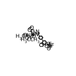 COC(=O)N[C@H](C(=O)N1CC2(C[C@H]1c1ncc(-c3ccc(-c4ccc(OS(=O)(=O)C(F)(F)F)c5c4C4CCC5CC4)cc3)[nH]1)OCCO2)C(C)C